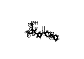 COC(=O)c1sc(-c2cccc(NC3CCN(S(=O)(=O)c4ccccc4)CC3)c2)c(C)c1OCC(=O)O